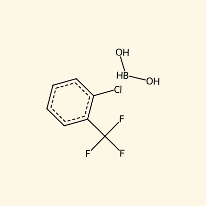 FC(F)(F)c1ccccc1Cl.OBO